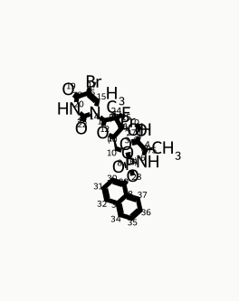 CC(C)OC(=O)[C@@H](C)N[P@@](=O)(OC[C@H]1OC(n2cc(Br)c(=O)[nH]c2=O)[C@](C)(F)[C@@H]1O)Oc1cccc2ccccc12